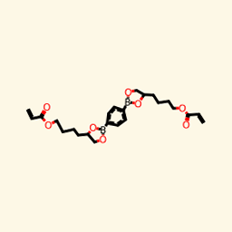 C=CC(=O)OCCCCC1COB(c2ccc(B3OCC(CCCCOC(=O)C=C)O3)cc2)O1